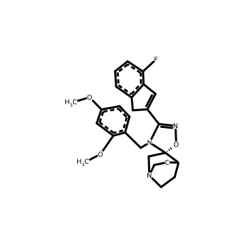 COc1ccc(CN2C(C3=Cc4c(F)cccc4C3)=NO[C@]23CN2CCC3CC2)c(OC)c1